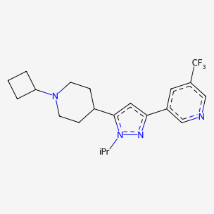 CC(C)n1nc(-c2cncc(C(F)(F)F)c2)cc1C1CCN(C2CCC2)CC1